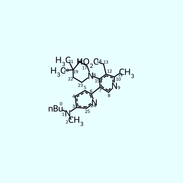 CCCCN(C)c1ccc(-c2cnc(C)c(CC(=O)O)c2N2CCC(C)(C)CC2)nc1